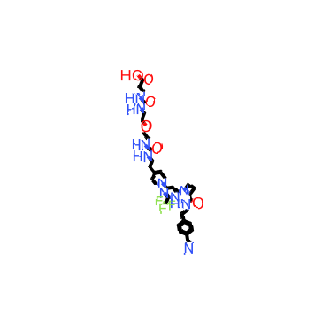 N#Cc1ccc(CCNC(=O)[C@@H]2CCN2c2cc(N3CCC(CCNC(=O)NCCOCCNC(=O)NCCC(=O)O)CC3)nc(C(F)(F)F)n2)cc1